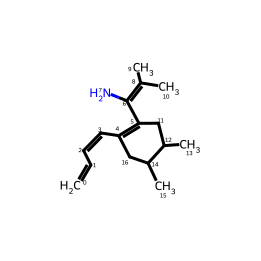 C=C/C=C\C1=C(C(N)=C(C)C)CC(C)C(C)C1